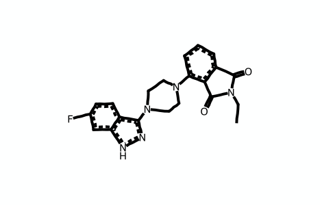 CCN1C(=O)c2cccc(N3CCN(c4n[nH]c5cc(F)ccc45)CC3)c2C1=O